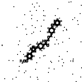 O=C(NCOCN1CCC(Oc2ccccn2)CC1)N1CCN(c2nc(-c3ccc(OC(F)(F)F)cc3)no2)CC1